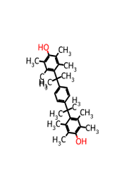 Cc1c(C)c(C(C)(C)c2ccc(C(C)(C)c3c(C)c(C)c(O)c(C)c3C)cc2)c(C)c(C)c1O